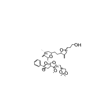 C=C1C[C@H](CCCO)OC1CCC1C[C@@H](C)C(=C)C(C[C@@H]2O[C@H](C[C@H]3COC(C)(C)O3)[C@H](OC)C2CS(=O)(=O)c2ccccc2)O1